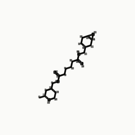 CC1CC(COC(=O)CCCCC(=O)OCC2CCC3OC3C2)CCO1